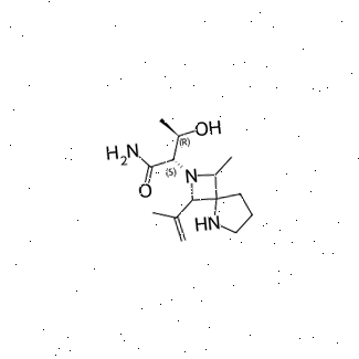 C=C(C)C1N([C@H](C(N)=O)[C@@H](C)O)C(C)C12CCCN2